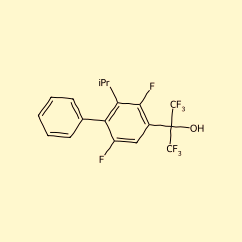 CC(C)c1c(F)c(C(O)(C(F)(F)F)C(F)(F)F)cc(F)c1-c1ccccc1